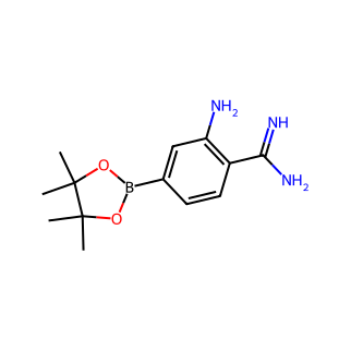 CC1(C)OB(c2ccc(C(=N)N)c(N)c2)OC1(C)C